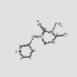 Cn1c(=O)ccn(Oc2ccccc2)c1=O